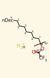 CCCCCCCCCCCCCCCCCC(C)(C)OC(=O)C(F)(F)F.S